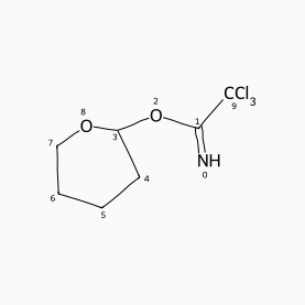 N=C(OC1CCCCO1)C(Cl)(Cl)Cl